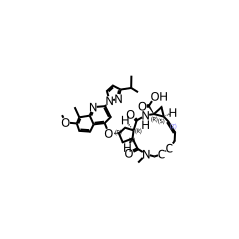 COc1ccc2c(O[C@@H]3C[C@H]4C(=O)N[C@]5(C(=O)O)C[C@H]5/C=C\CCCCN(C)C(=O)[C@@H]4C3)cc(-n3ccc(C(C)C)n3)nc2c1C